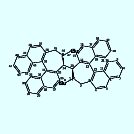 CC(C)(C)P1Cc2ccc3ccccc3c2-c2c(ccc3ccccc23)[C@@H]1[C@H]1c2ccc3ccccc3c2-c2c(ccc3ccccc23)CP1C(C)(C)C